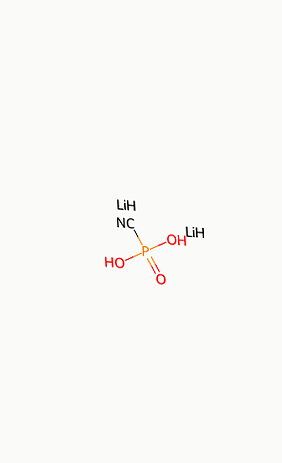 N#CP(=O)(O)O.[LiH].[LiH]